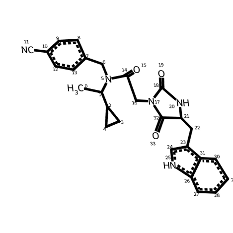 CC(C1CC1)N(Cc1ccc(C#N)cc1)C(=O)CN1C(=O)NC(Cc2c[nH]c3ccccc23)C1=O